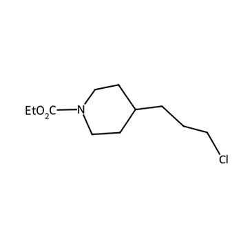 CCOC(=O)N1CCC(CCCCl)CC1